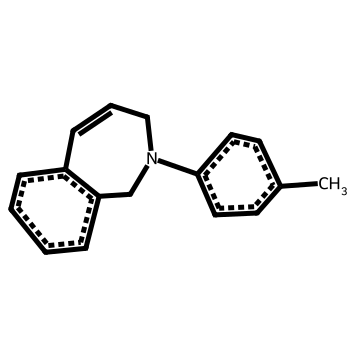 Cc1ccc(N2CC=Cc3ccccc3C2)cc1